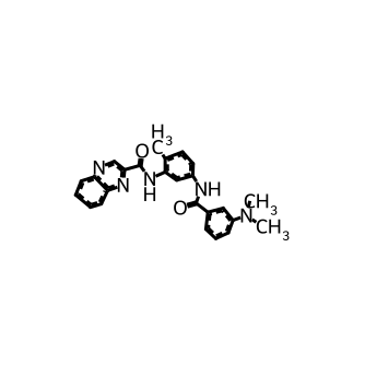 Cc1ccc(NC(=O)c2cccc(N(C)C)c2)cc1NC(=O)c1cnc2ccccc2n1